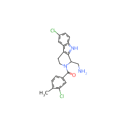 Cc1ccc(C(=O)N2CCc3c([nH]c4ccc(Cl)cc34)C2CN)cc1Cl